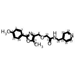 Cc1ccc(-c2nc(COCC(=O)NCc3ccncc3)c(C)o2)cc1